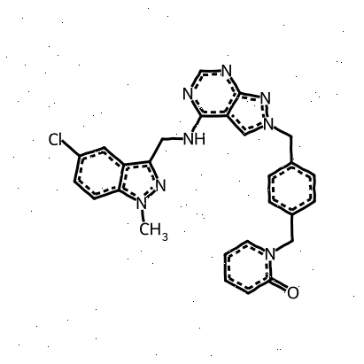 Cn1nc(CNc2ncnc3nn(Cc4ccc(Cn5ccccc5=O)cc4)cc23)c2cc(Cl)ccc21